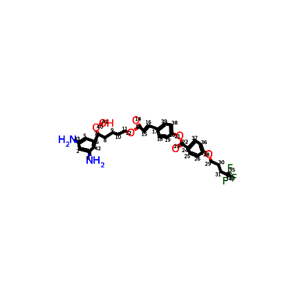 Nc1cc(N)cc(C(CCCCOC(=O)/C=C/c2ccc(OC(=O)c3ccc(OCCCC(F)(F)F)cc3)cc2)OO)c1